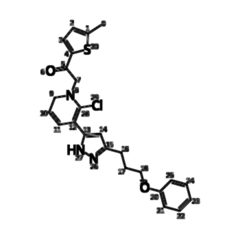 Cc1ccc(C(=O)CN2CC=CC(c3cc(CCCOc4ccccc4)n[nH]3)=C2Cl)s1